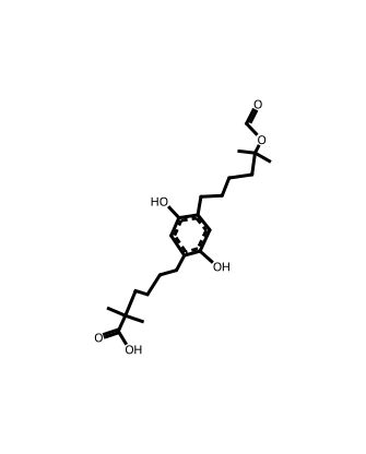 CC(C)(CCCCc1cc(O)c(CCCCC(C)(C)C(=O)O)cc1O)OC=O